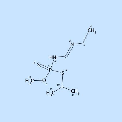 CCN=CNP(=S)(OC)SC(C)C